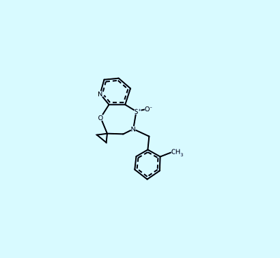 Cc1ccccc1CN1CC2(CC2)Oc2ncccc2[S+]1[O-]